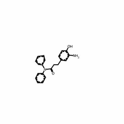 Nc1cc(CCC(=O)N(c2ccccc2)c2ccccc2)ccc1O